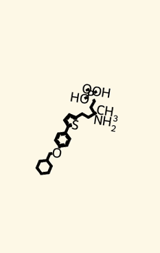 CC(N)(CCc1ccc(-c2ccc(OCC3CCCCC3)cc2)s1)CCP(=O)(O)O